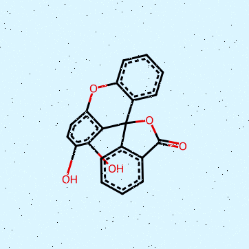 O=C1OC2(c3ccccc3Oc3ccc(O)c(O)c32)c2ccccc21